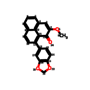 COC1=Cc2cccc3ccc(-c4ccc5c(c4)OCO5)c(c23)C1=O